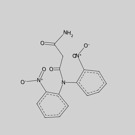 NC(=O)CC(=O)N(c1ccccc1[N+](=O)[O-])c1ccccc1[N+](=O)[O-]